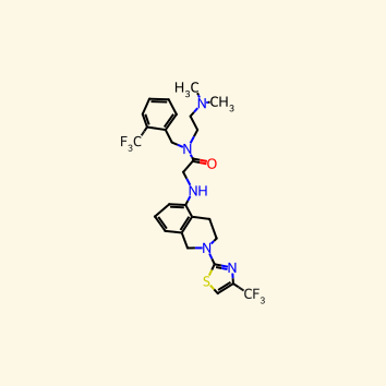 CN(C)CCN(Cc1ccccc1C(F)(F)F)C(=O)CNc1cccc2c1CCN(c1nc(C(F)(F)F)cs1)C2